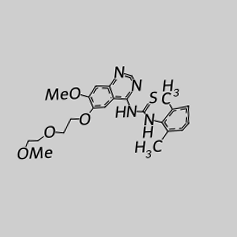 COCCOCCOc1cc2c(NC(=S)Nc3c(C)cccc3C)ncnc2cc1OC